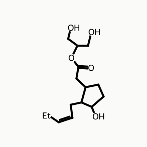 CC/C=C\CC1C(O)CCC1CC(=O)OC(CO)CO